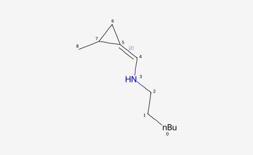 CCCCCCN/C=C1/CC1C